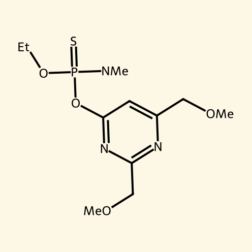 CCOP(=S)(NC)Oc1cc(COC)nc(COC)n1